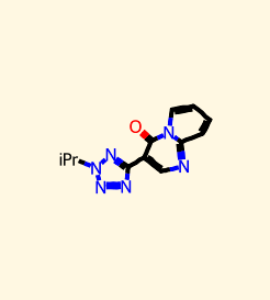 CC(C)n1nnc(-c2cnc3ccccn3c2=O)n1